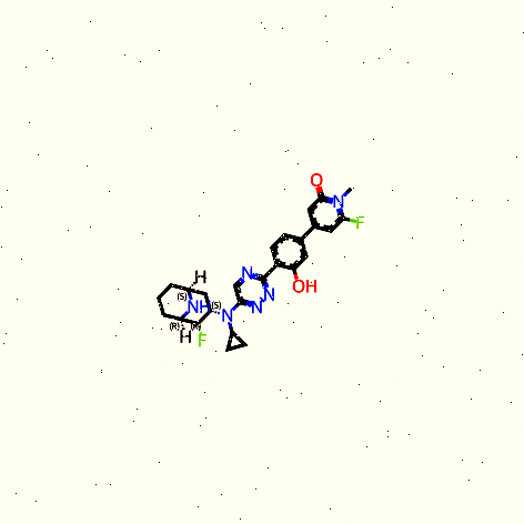 Cn1c(F)cc(-c2ccc(-c3ncc(N(C4CC4)[C@H]4C[C@@H]5CCC[C@@H](N5)[C@H]4F)nn3)c(O)c2)cc1=O